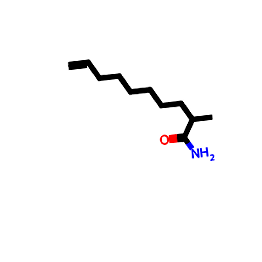 C=CCCCCCCC(C)C(N)=O